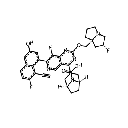 C#Cc1c(F)ccc2cc(O)cc(-c3ncc4c(N5C[C@H]6CC[C@@H](C5)N6C(=O)O)nc(OC[C@@]56CCCN5C[C@H](F)C6)nc4c3F)c12